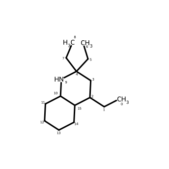 CCC1CC(CC)(CC)NC2CCCCC12